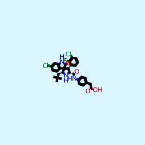 CC(C)(C)C[C@@H]1N[C@@H](C(=O)Nc2ccc(CC(=O)O)cc2)[C@H](c2cccc(Cl)c2F)C12C(=O)Nc1cc(Cl)ccc12